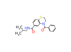 CC(C)CNC(=O)c1ccc2c(c1)N(C(=O)c1ccccc1)CCS2